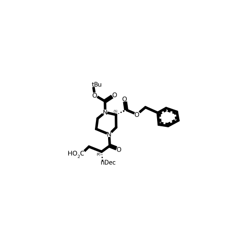 CCCCCCCCCC[C@H](CC(=O)O)C(=O)N1CCN(C(=O)OC(C)(C)C)[C@H](C(=O)OCc2ccccc2)C1